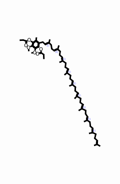 CCC(=O)Oc1c(C)c(C/C=C(\C)CC/C=C(\C)CC/C=C(\C)CC/C=C(\C)CC/C=C(\C)CC/C=C(\C)CC/C=C(\C)CC/C=C(\C)CC/C=C(\C)CCC=C(C)C)c(OC(=O)CC)c(OC)c1OC